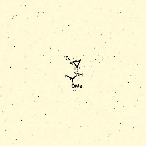 COC(C)N[C@H]1C[C@H]1F